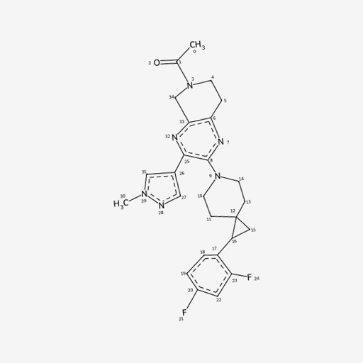 CC(=O)N1CCc2nc(N3CCC4(CC3)CC4c3ccc(F)cc3F)c(-c3cnn(C)c3)nc2C1